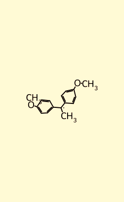 COc1ccc([C](C)c2ccc(OC)cc2)cc1